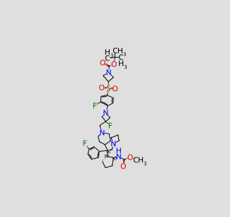 COC(=O)N[C@H]1CCC[C@@H]1[C@](CN1CCC1)(c1cccc(F)c1)C1CCN(CC2(F)CN(c3ccc(S(=O)(=O)C4CN(C(=O)OC(C)(C)C)C4)cc3F)C2)CC1